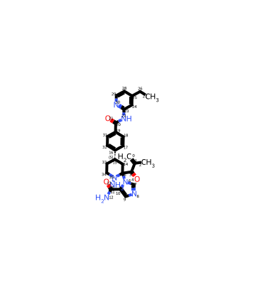 C=C(C)C(=O)C1(n2cncc2C(N)=O)C[C@@H](c2ccc(C(=O)Nc3cc(CC)ccn3)cc2)CCN1N